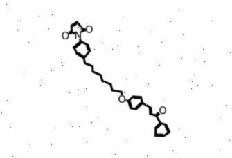 O=C(C=Cc1ccc(OCCCCCCCCc2ccc(N3C(=O)C=CC3=O)cc2)cc1)c1ccccc1